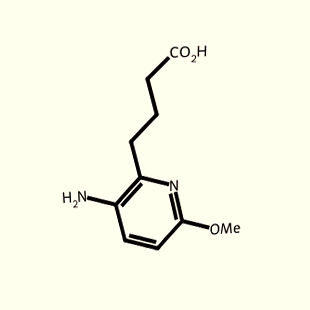 COc1ccc(N)c(CCCC(=O)O)n1